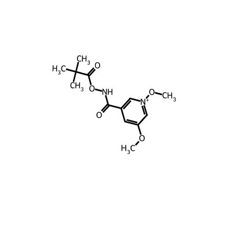 COc1cc(C(=O)NOC(=O)C(C)(C)C)c[n+](OC)c1